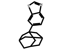 [CH]1C2CC3CC(C2)CC1(c1ccc2ncsc2c1)C3